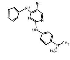 CN(C)c1ccc(Nc2ncc(Br)c(Nc3ccccc3)n2)cc1